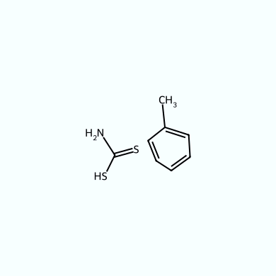 Cc1ccccc1.NC(=S)S